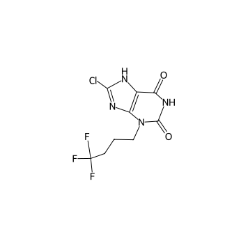 O=c1[nH]c(=O)n(CCCC(F)(F)F)c2nc(Cl)[nH]c12